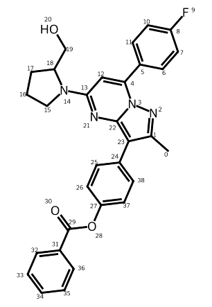 Cc1nn2c(-c3ccc(F)cc3)cc(N3CCCC3CO)nc2c1-c1ccc(OC(=O)c2ccccc2)cc1